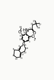 COc1cc(N2C=C3CCCC=C3CC2)cc(OC)c1NC(=O)CC(C)(C)C